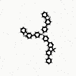 CC1(C)c2ccc(-c3ccc(N(c4ccc(-c5ccc6oc7ccccc7c6c5)cc4)c4ccc(-c5ccc6oc7ccccc7c6c5)cc4)cc3)cc2-c2ccc(-c3ccccc3)cc21